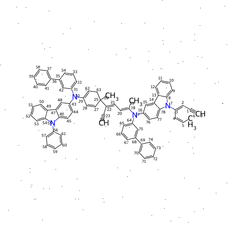 C#C/C=C(\C=C/C)n1c2ccccc2c2cc(N(/C(C)=C/C=C(\C#C)C3(C)C=CC(N(c4cccc(-c5ccccc5)c4)c4ccc5c(c4)c4ccccc4n5-c4ccccc4)=CC3)c3cccc(-c4ccccc4)c3)ccc21